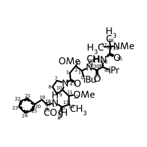 CCC(C)C(C(CC(=O)N1CCCC1C(OC)C(C)C(=S)N[C@@H](Cc1ccccc1)C(=O)O)OC)N(C)C(=O)C(NC(=O)C(C)(C)NC)C(C)C